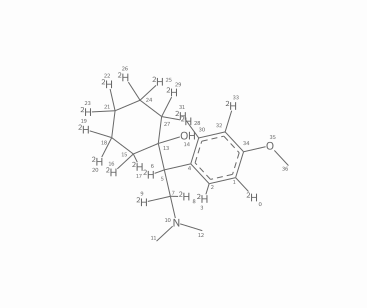 [2H]c1c([2H])c(C([2H])(C([2H])([2H])N(C)C)C2(O)C([2H])([2H])C([2H])([2H])C([2H])([2H])C([2H])([2H])C2([2H])[2H])c([2H])c([2H])c1OC